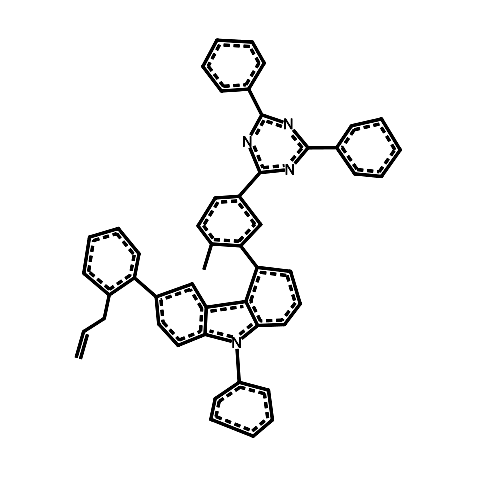 C=CCc1ccccc1-c1ccc2c(c1)c1c(-c3cc(-c4nc(-c5ccccc5)nc(-c5ccccc5)n4)ccc3C)cccc1n2-c1ccccc1